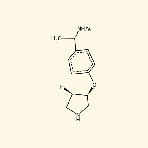 CC(=O)N[C@@H](C)c1ccc(O[C@H]2CNC[C@H]2F)cc1